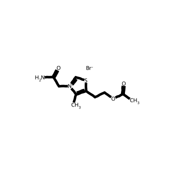 CC(=O)OCCc1sc[n+](CC(N)=O)c1C.[Br-]